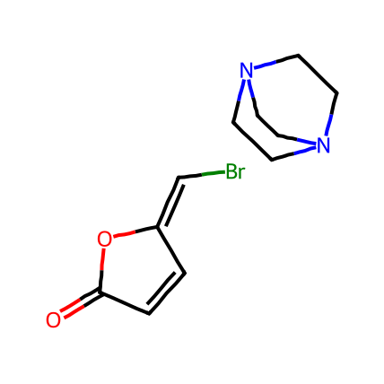 C1CN2CCN1CC2.O=C1C=CC(=CBr)O1